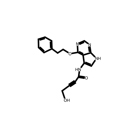 O=C(C#CCO)Nc1c[nH]c2ncnc(OCCc3ccccc3)c12